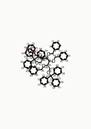 c1ccc(CO[C@@H]([C@H](OCc2ccccc2)[C@@H](COC(c2ccccc2)(c2ccccc2)c2ccccc2)OCc2ccccc2)[C@@H](COC(c2ccccc2)(c2ccccc2)c2ccccc2)OCc2ccccc2)cc1